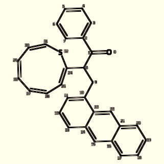 O=C(c1ccccc1)C(Cc1cccc2cc3ccccc3cc12)c1cccccccs1